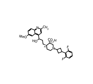 COc1ccc2nc(C)cc(C(O)CC[C@@H]3CCN(C4CC(c5c(F)cccc5F)C4)C[C@@H]3C(=O)O)c2c1